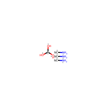 N#CN.N#CN.N#CN.OB(O)O